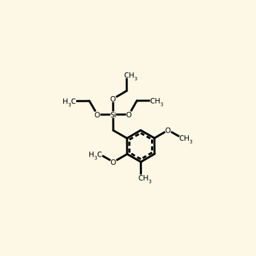 CCO[Si](Cc1cc(OC)cc(C)c1OC)(OCC)OCC